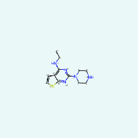 CCNc1nc(N2CCNCC2)nc2sccc12